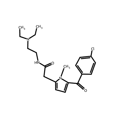 CCN(CC)CCNC(=O)Cc1ccc(C(=O)c2ccc(Cl)cc2)n1C